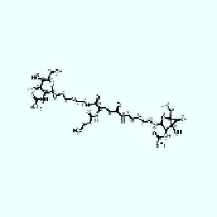 CCCC(=O)NC(CCC(=O)NCCOCCOC1OC2(CO)C(O)C2(O)C1NC(C)=O)C(=O)NCCOCCOC1OC(CO)C(O)C(O)C1NC(C)=O